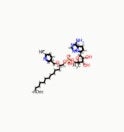 CCCCCCCCCCCCCCCCCCCC[C@H](COP(=O)(O)OC[C@@]1(C)O[C@@H](c2ccc3c(N)ncnn23)[C@H](O)[C@@H]1O)OCc1ccc(C#N)nc1